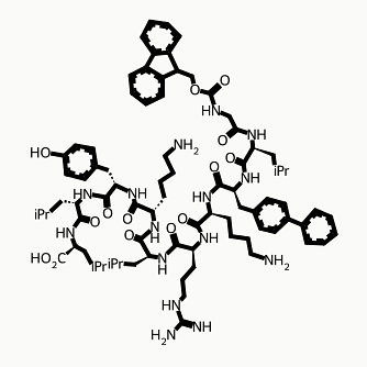 CC(C)C[C@H](NC(=O)[C@H](CC(C)C)NC(=O)[C@H](Cc1ccc(O)cc1)NC(=O)[C@H](CCCCN)NC(=O)[C@H](CC(C)C)NC(=O)[C@H](CCCNC(=N)N)NC(=O)[C@H](CCCCN)NC(=O)[C@H](Cc1ccc(-c2ccccc2)cc1)NC(=O)[C@H](CC(C)C)NC(=O)CNC(=O)OCC1c2ccccc2-c2ccccc21)C(=O)O